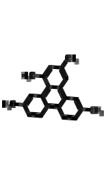 Cc1ccc2c3ccc(C)cc3c3c(C)cc(C)cc3c2c1